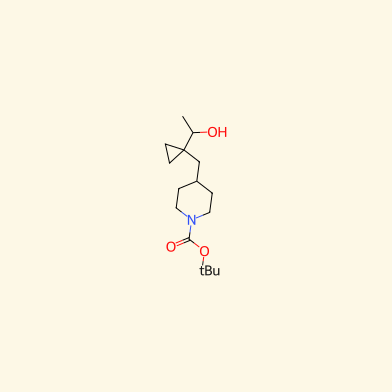 CC(O)C1(CC2CCN(C(=O)OC(C)(C)C)CC2)CC1